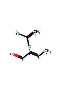 C=C(Cl)Cl.CC=CC=O